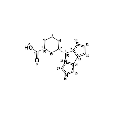 O=C(O)[C@@H]1CCCC([C@@H]2c3sccc3-c3cncn32)C1